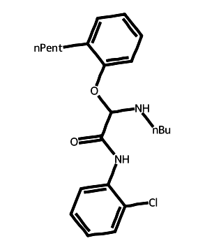 CCCCCc1ccccc1OC(NCCCC)C(=O)Nc1ccccc1Cl